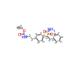 CC(C)(C)OC(=O)NCCc1ccc(C(=Cc2ccccc2)S(N)(=O)=O)cc1